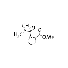 C=C(C)C(=O)N1CCCC1C(=O)OC